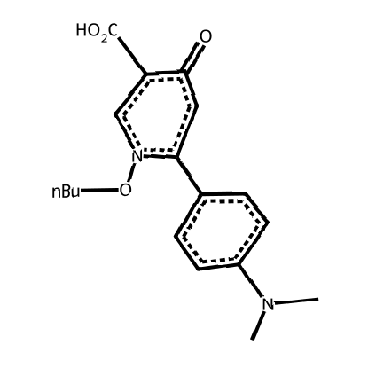 CCCCOn1cc(C(=O)O)c(=O)cc1-c1ccc(N(C)C)cc1